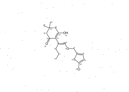 CCCC(=NOCc1ccc(Cl)s1)C1=C(O)CC(C)(C)CC1=O